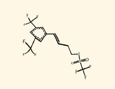 O=S(=O)(OCCC=Cc1cc(C(F)(F)F)cc(C(F)(F)F)c1)C(F)(F)F